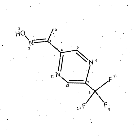 CC(=NO)c1cnc(C(F)(F)F)cn1